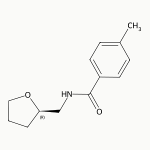 Cc1ccc(C(=O)NC[C@H]2CCCO2)cc1